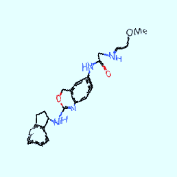 COCCNCC(=O)Nc1ccc2c(c1)COC(N[C@@H]1CCc3ccccc31)=N2